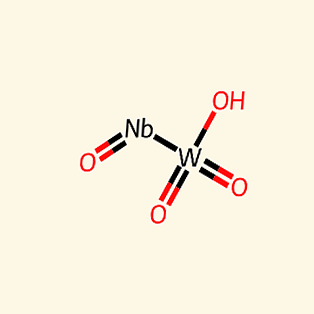 [O]=[Nb][W](=[O])(=[O])[OH]